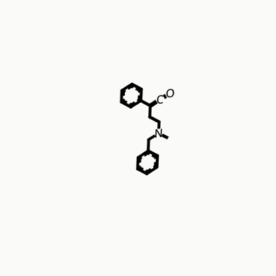 CN(CCC(=C=O)c1ccccc1)Cc1ccccc1